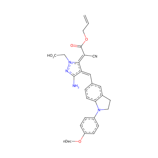 C=CCOC(=O)/C(C#N)=c1/c(=C/c2ccc3c(c2)CCN3c2ccc(OCCCCCCCCCC)cc2)c(N)nn1CC(=O)O